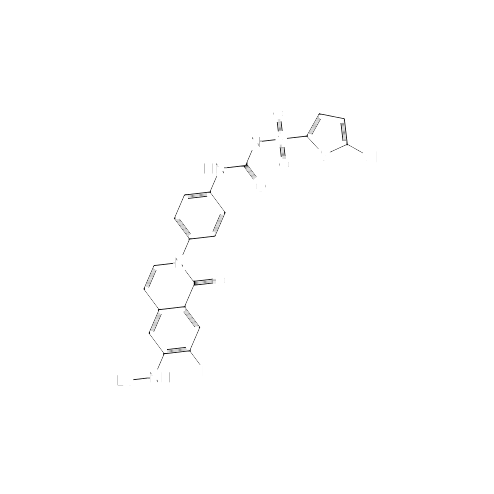 CCNc1cc2ccn(-c3ccc(NC(=O)NS(=O)(=O)c4ccc(Cl)s4)cc3)c(=O)c2cc1F